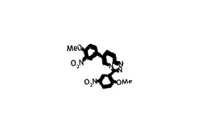 COc1ccc([N+](=O)[O-])cc1-c1nnc2ccc(-c3ccc(OC)c([N+](=O)[O-])c3)cn12